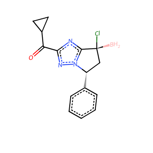 B[C@@]1(Cl)C[C@H](c2ccccc2)n2nc(C(=O)C3CC3)nc21